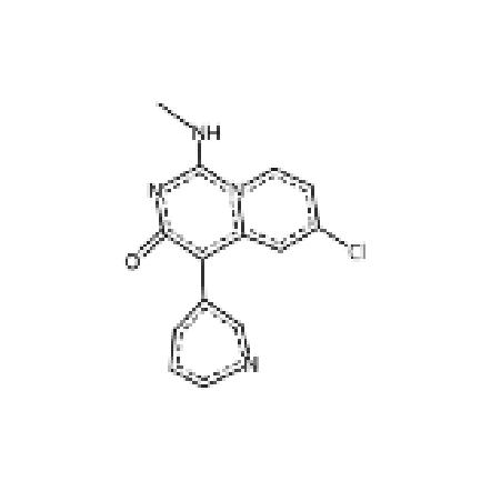 CNc1nc(=O)c(-c2cccnc2)c2cc(Cl)ccn12